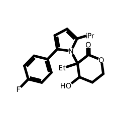 CCC1(n2c(-c3ccc(F)cc3)ccc2C(C)C)C(=O)OCCC1O